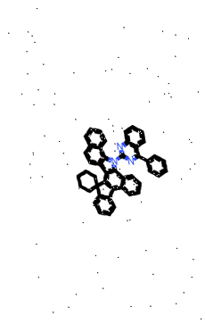 c1ccc(-c2nc(-n3c4c5ccccc5ccc4c4c5c(c6ccccc6c43)-c3ccccc3C53CCCCC3)nc3ccccc23)cc1